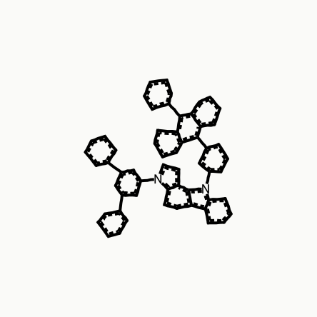 c1ccc(-c2cc(-c3ccccc3)cc(-n3ccc4c3ccc3c5ccccc5n(-c5cccc(-c6c7ccccc7c(-c7ccccc7)c7ccccc67)c5)c34)c2)cc1